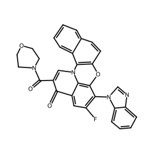 O=C(c1cn2c3c(c(-n4cnc5ccccc54)c(F)cc3c1=O)Oc1ccc3ccccc3c1-2)N1CCOCC1